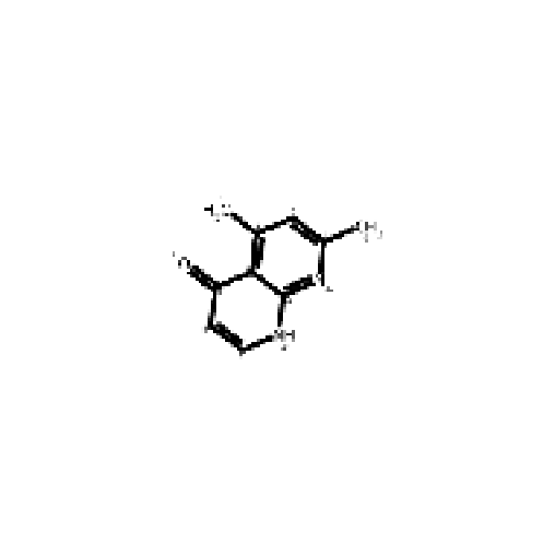 Cc1cc(C)c2c(=O)cc[nH]c2n1